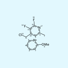 COc1ccccn1.Cc1cc(CCl)c(F)c(F)n1